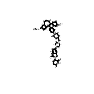 O=C1CC[C@H](N2Cc3cc(N4CCN(CC5CCN(c6ccc(C7=C(c8ccc(O)cc8)CCCc8cc(C(=O)O)ccc87)cc6)CC5)CC4)ccc3C2=O)C(=O)N1